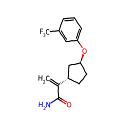 C=C(C(N)=O)[C@H]1CC[C@H](Oc2cccc(C(F)(F)F)c2)C1